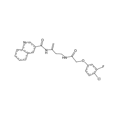 C=C(CCNC(=O)COc1ccc(Cl)c(F)c1)NC(=O)c1cnc2ccccc2c1